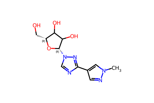 Cn1cc(-c2ncn([C@@H]3O[C@H](CO)C(O)C3O)n2)cn1